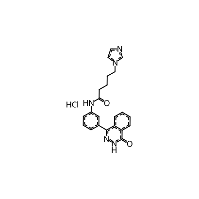 Cl.O=C(CCCCn1ccnc1)Nc1cccc(-c2n[nH]c(=O)c3ccccc23)c1